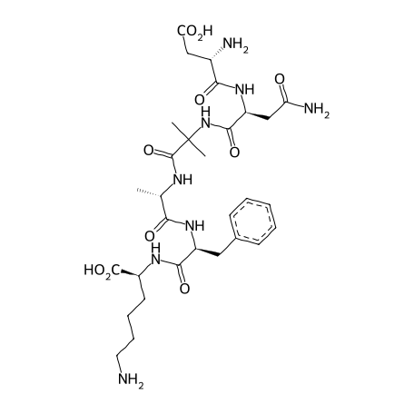 C[C@H](NC(=O)C(C)(C)NC(=O)[C@H](CC(N)=O)NC(=O)[C@@H](N)CC(=O)O)C(=O)N[C@@H](Cc1ccccc1)C(=O)N[C@@H](CCCCN)C(=O)O